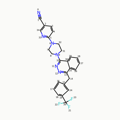 N#Cc1ccc(N2CCN(c3nnc(Cc4cccc(C(F)(F)F)c4)c4ccccc34)CC2)nc1